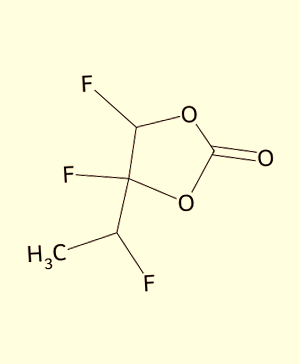 CC(F)C1(F)OC(=O)OC1F